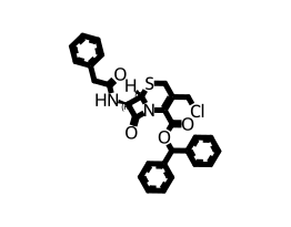 O=C(Cc1ccccc1)N[C@@H]1C(=O)N2C(C(=O)OC(c3ccccc3)c3ccccc3)=C(CCl)CS[C@@H]12